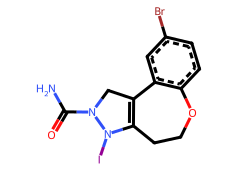 NC(=O)N1CC2=C(CCOc3ccc(Br)cc32)N1I